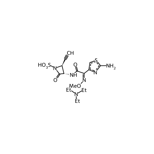 C#C[C@H]1[C@H](NC(=O)C(=NOC)c2csc(N)n2)C(=O)N1S(=O)(=O)O.CCN(CC)CC